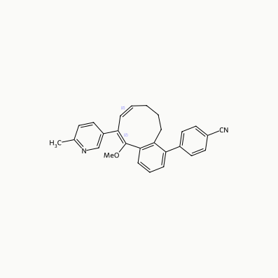 CO/C1=C(c2ccc(C)nc2)/C=C\CCCc2c1cccc2-c1ccc(C#N)cc1